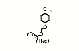 CCCCCCC[C@@H](CCC)O[C]O[C@H]1CC[C@H](C)CC1